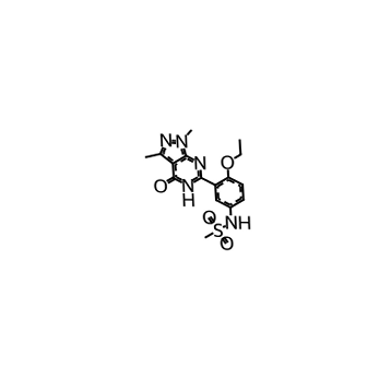 CCOc1ccc(NS(C)(=O)=O)cc1-c1nc2c(c(C)nn2C)c(=O)[nH]1